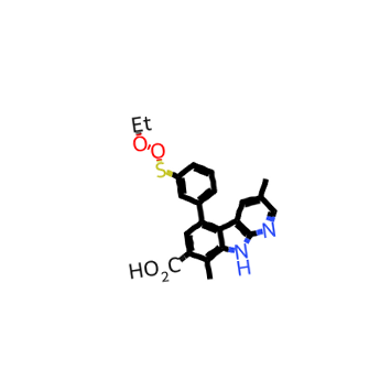 CCOOSc1cccc(-c2cc(C(=O)O)c(C)c3[nH]c4ncc(C)cc4c23)c1